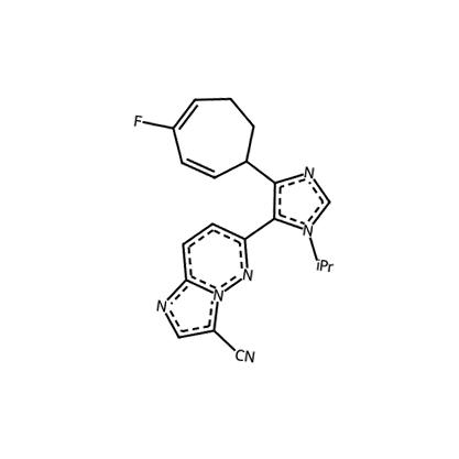 CC(C)n1cnc(C2C=CC(F)=CCC2)c1-c1ccc2ncc(C#N)n2n1